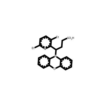 CCc1ccc(CC)c(C(CCS(=O)(=O)O)N2c3ccccc3Oc3ccccc32)n1